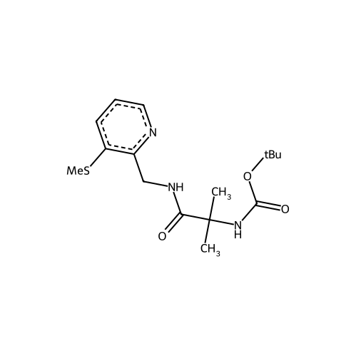 CSc1cccnc1CNC(=O)C(C)(C)NC(=O)OC(C)(C)C